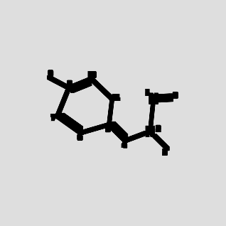 C=NN(C)/C=C1/C=CC(C)=CC1